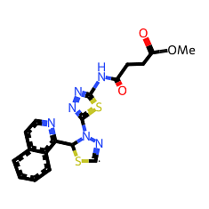 COC(=O)CCC(=O)Nc1nnc(N2N=[C]SC2c2nccc3ccccc23)s1